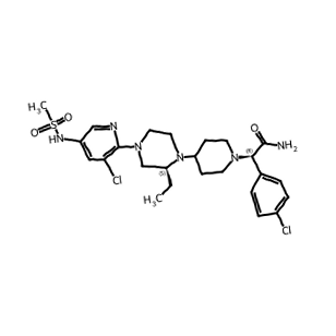 CC[C@H]1CN(c2ncc(NS(C)(=O)=O)cc2Cl)CCN1C1CCN([C@@H](C(N)=O)c2ccc(Cl)cc2)CC1